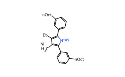 CCCCCCCCc1cccc(C2=C(C)C(CC)=C(c3cccc(CCCCCCCC)c3)[N+]2=[N-])c1.[Ni]